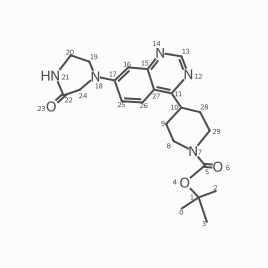 CC(C)(C)OC(=O)N1CCC(c2ncnc3cc(N4CCNC(=O)C4)ccc23)CC1